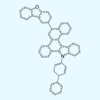 C1=CC(c2ccccc2)CC=C1n1c2ccccc2c2c3c4ccccc4c(-c4ccc5oc6ccccc6c5c4)cc3c3ccccc3c21